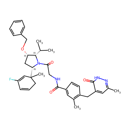 Cc1cc(Cc2ccc(C(=O)NCC(=O)N3[C@H](C4(C)C=C(F)C=CC4)C[C@H](OCc4ccccc4)[C@@H]3C(C)C)cc2C)c(=O)[nH]n1